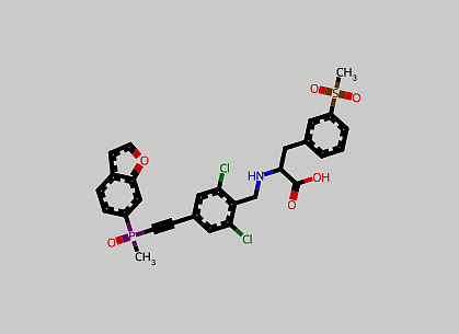 CP(=O)(C#Cc1cc(Cl)c(CNC(Cc2cccc(S(C)(=O)=O)c2)C(=O)O)c(Cl)c1)c1ccc2ccoc2c1